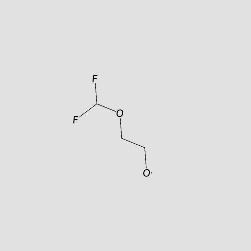 [O]CCOC(F)F